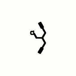 C#CCC(CCl)CC#C